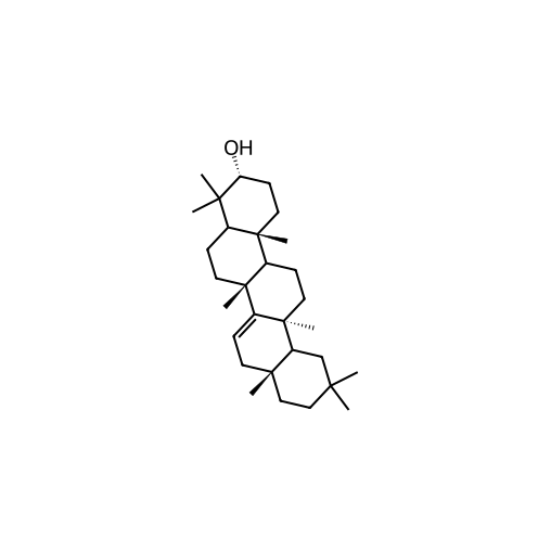 CC1(C)CC[C@]2(C)CC=C3[C@]4(C)CCC5C(C)(C)[C@H](O)CC[C@]5(C)C4CC[C@@]3(C)C2C1